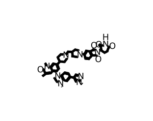 Cc1cc2c(N3CCN(C)c4cc(-c5cnn(C)c5)ccc43)cc(C3CCN(CC4CCN(c5ccc6c(c5)C(=O)N(C5CCC(=O)NC5=O)C6=O)CC4)CC3)cc2n(C)c1=O